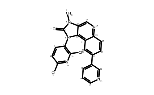 Cn1c(=O)n(-c2ccc(Cl)nc2Cl)c2c3cc(-c4cccnc4)ccc3ncc21